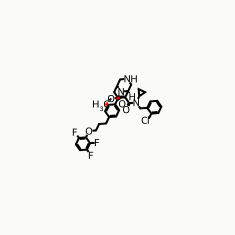 COC(=O)N1C2CNC[C@@H]1C(C(=O)N(Cc1ccccc1Cl)C1CC1)=C(c1ccc(CCCOc3c(F)ccc(F)c3F)cc1)C2